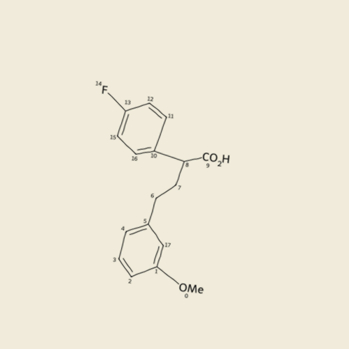 COc1cccc(CCC(C(=O)O)c2ccc(F)cc2)c1